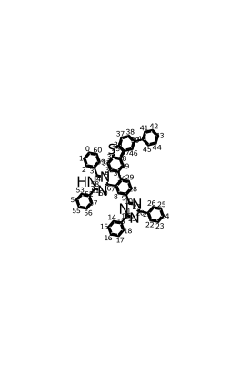 c1ccc(C2=NC(c3cc(-c4nc(-c5ccccc5)nc(-c5ccccc5)n4)ccc3-c3ccc4sc5ccc(-c6ccccc6)cc5c4c3)=NC(c3ccccc3)N2)cc1